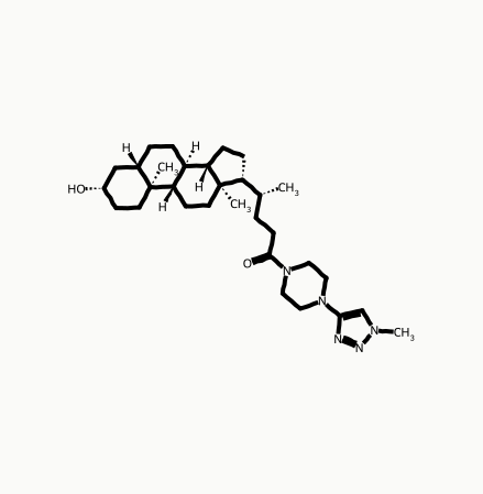 C[C@H](CCC(=O)N1CCN(c2cn(C)nn2)CC1)[C@H]1CC[C@H]2[C@@H]3CC[C@H]4C[C@@H](O)CC[C@]4(C)[C@H]3CC[C@]12C